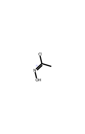 C/C(Cl)=N\O